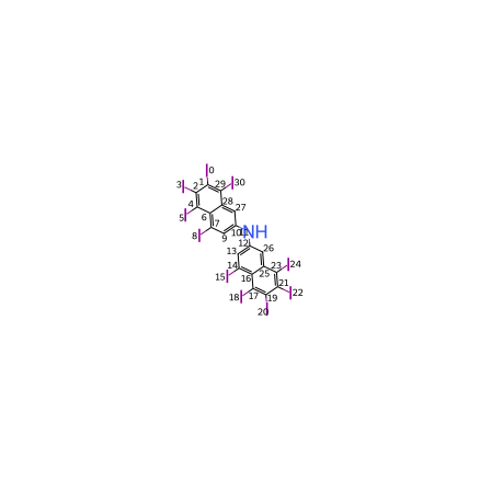 Ic1c(I)c(I)c2c(I)cc(Nc3cc(I)c4c(I)c(I)c(I)c(I)c4c3)cc2c1I